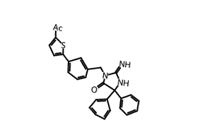 CC(=O)c1ccc(-c2cccc(CN3C(=N)NC(c4ccccc4)(c4ccccc4)C3=O)c2)s1